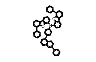 c1ccc(-c2ccc3c(-c4ccc(N(c5cccc6c5oc5c(-c7ccccc7)cccc56)c5cccc6c5oc5c(-c7ccccc7)cccc56)cc4)cccc3c2)cc1